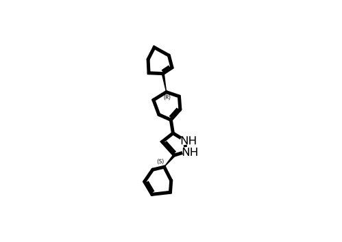 C1=CC[C@@H](C2=CC(C3=CC[C@H](C4=CCCCC4)CC3)NN2)CC1